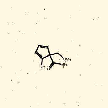 CCCCC(=O)C1(COC)C=CC=C1C